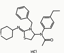 CCc1ccc(N(C(C)=O)C2CSC(=NC3CCCCC3)N2Cc2ccccc2)cc1.Cl